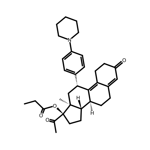 CCC(=O)O[C@]1(C(C)=O)CC[C@H]2[C@@H]3CCC4=CC(=O)CCC4=C3[C@@H](c3ccc(N4CCCCC4)cc3)C[C@@]21C